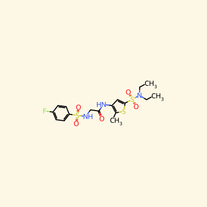 CCN(CC)S(=O)(=O)c1cc(NC(=O)CNS(=O)(=O)c2ccc(F)cc2)c(C)s1